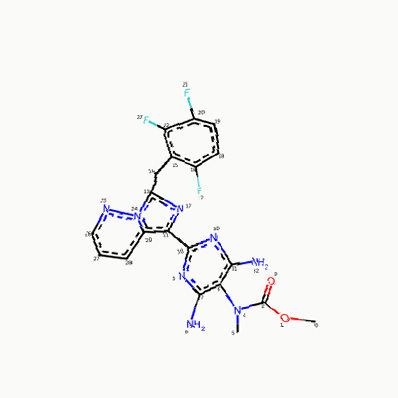 COC(=O)N(C)c1c(N)nc(-c2nc(Cc3c(F)ccc(F)c3F)n3ncccc23)nc1N